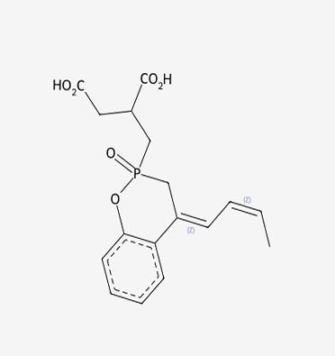 C/C=C\C=C1/CP(=O)(CC(CC(=O)O)C(=O)O)Oc2ccccc21